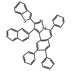 c1ccc(-c2cc3cc(-c4ccccc4)n4nc(-c5cc6ccccc6s5)c(-c5ccc6ccccc6c5)c4c3cc2-c2ccccc2)cc1